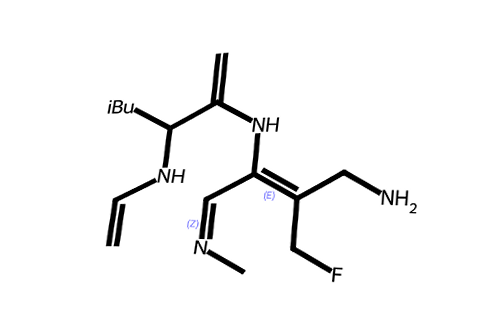 C=CNC(C(=C)NC(/C=N\C)=C(\CN)CF)C(C)CC